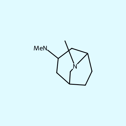 CNC1CC2CCC(C1)N(C)C2